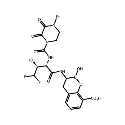 CCN1CCN(C(=O)N[C@H](C(=O)NC2Cc3cccc(C(=O)O)c3OB2O)[C@H](O)C(F)F)C(=O)C1=O